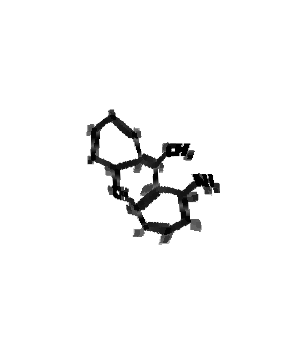 C=c1cccc/c1=C(\C)c1ccccc1N